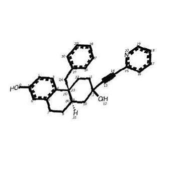 Oc1ccc2c(c1)CC[C@@H]1CC(O)(C#Cc3ccccn3)CC[C@@]21Cc1ccccc1